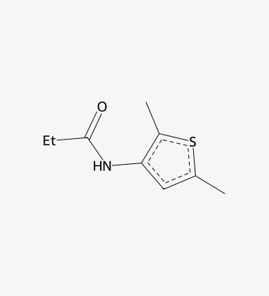 CCC(=O)Nc1cc(C)sc1C